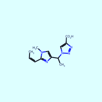 C/C=C\c1nc(C(C)n2cc(C(=O)O)nn2)cn1C